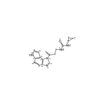 C=C(CCNC(=O)NC1CC1)n1cnc2cnc3[nH]ccc3c21